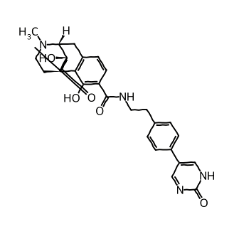 CN1CC[C@]23CC(=O)CC[C@@]2(O)[C@H]1Cc1ccc(C(=O)NCCc2ccc(-c4cnc(=O)[nH]c4)cc2)c(O)c13